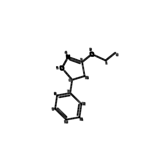 CCOC1=NOC(c2ccccc2)C1